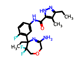 CCc1n[nH]c(C(=O)Nc2ccc(F)c(C3(CC)N=C(N)COCC3(F)F)c2)c1C